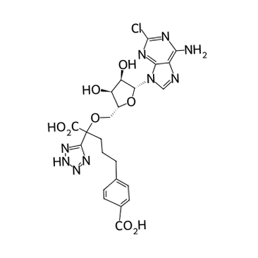 Nc1nc(Cl)nc2c1ncn2[C@@H]1O[C@H](COC(CCCc2ccc(C(=O)O)cc2)(C(=O)O)c2nn[nH]n2)[C@@H](O)[C@H]1O